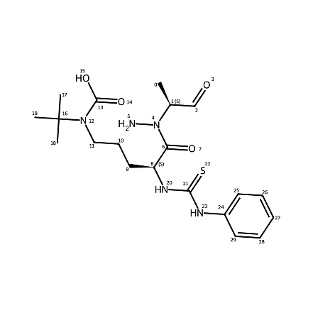 C[C@@H](C=O)N(N)C(=O)[C@H](CCCN(C(=O)O)C(C)(C)C)NC(=S)Nc1ccccc1